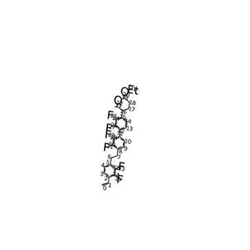 C=Cc1ccc(CCc2ccc(-c3ccc(C4CCC(OCC)OC4)c(F)c3F)c(F)c2F)c(F)c1F